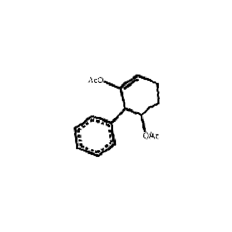 CC(=O)OC1=CCCC(OC(C)=O)C1c1ccccc1